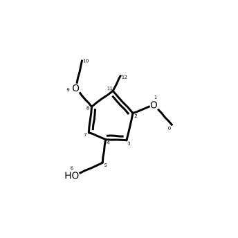 COc1cc(CO)cc(OC)c1C